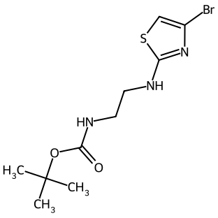 CC(C)(C)OC(=O)NCCNc1nc(Br)cs1